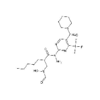 CCCCCC(CN(O)C=O)C(=O)N(N)c1ncc(C(=O)N2CCCCC2)c(C(F)(F)F)n1